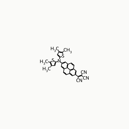 Cc1cc(N(c2cc3ccc4cc(C(C#N)=C(C#N)C#N)cc5ccc(c2)c3c45)c2cc(C)c(C)s2)sc1C